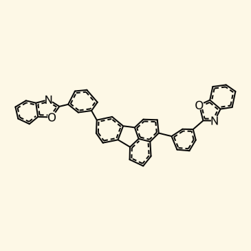 c1cc(-c2ccc3c(c2)-c2ccc(-c4cccc(-c5nc6ccccc6o5)c4)c4cccc-3c24)cc(-c2nc3ccccc3o2)c1